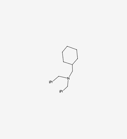 CC(C)CN(CC(C)C)CC1CCCCC1